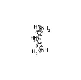 N=C(N)c1ccc(-c2c[nH]c(-c3ccc(C(=N)N)cc3)c2)cc1